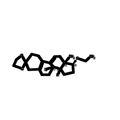 CCO[C@@H]1CC[C@@H]2[C@@H]3CCC4=C(CCC5(C4)OCCO5)C3=CC[C@@]21C